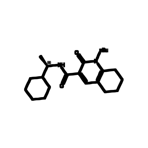 CCCCn1c2c(cc(C(=O)N[C@H](C)C3CCCCC3)c1=O)CCCC2